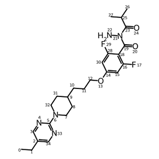 CCc1cnc(N2CCC(CCCOc3cc(F)c(C(=O)N(N)C(=O)C(C)C)c(F)c3)CC2)nc1